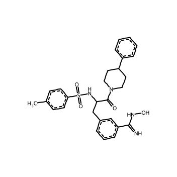 Cc1ccc(S(=O)(=O)NC(Cc2cccc(C(=N)NO)c2)C(=O)N2CCC(c3ccccc3)CC2)cc1